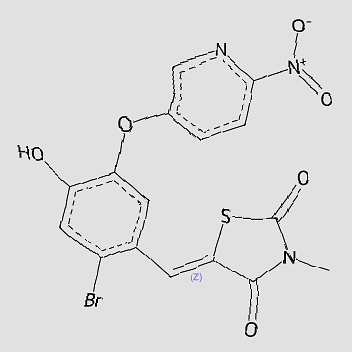 CN1C(=O)S/C(=C\c2cc(Oc3ccc([N+](=O)[O-])nc3)c(O)cc2Br)C1=O